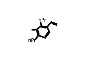 C=Cc1ccc(CCC)c(C)c1CCC